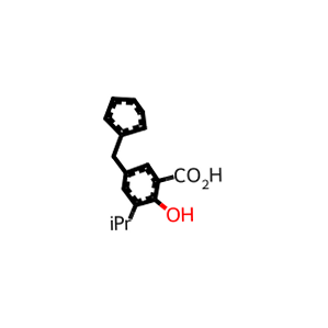 CC(C)c1cc(Cc2ccccc2)cc(C(=O)O)c1O